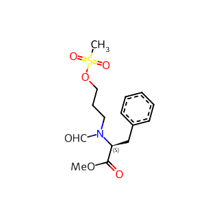 COC(=O)[C@H](Cc1ccccc1)N(C=O)CCCOS(C)(=O)=O